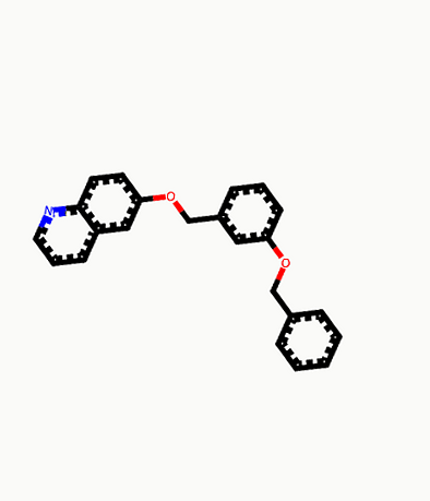 c1ccc(COc2cccc(COc3ccc4ncccc4c3)c2)cc1